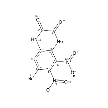 O=C1[N]c2c(cc(Br)c([N+](=O)[O-])c2[N+](=O)[O-])NC1=O